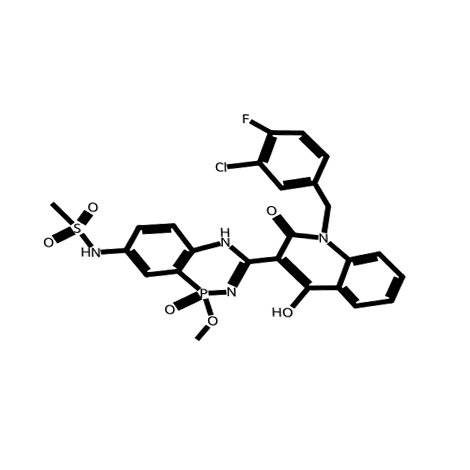 COP1(=O)N=C(c2c(O)c3ccccc3n(Cc3ccc(F)c(Cl)c3)c2=O)Nc2ccc(NS(C)(=O)=O)cc21